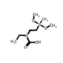 CCN(CC[Si](C)(OC)OC)C(=O)O